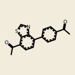 CC(=O)c1ccc(-c2ccc(C(C)=O)c3scnc23)cc1